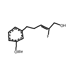 COc1cccc(CCC=C(F)CO)c1